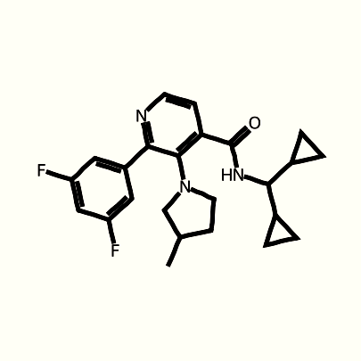 CC1CCN(c2c(C(=O)NC(C3CC3)C3CC3)ccnc2-c2cc(F)cc(F)c2)C1